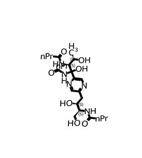 CCCC(=O)N[C@@H](CO)[C@@H](O)Cc1cnc(C(O)(NC(=O)CCC)[C@@H](NC(=O)CCC)[C@H](C)O)cn1